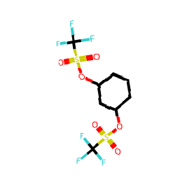 O=S(=O)(OC1CCCC(OS(=O)(=O)C(F)(F)F)C1)C(F)(F)F